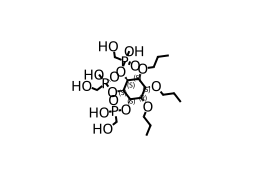 CCCO[C@@H]1[C@@H](OCCC)[C@H](OP(=O)(O)CO)[C@@H](OP(=O)(O)CO)[C@@H](OP(=O)(O)CO)[C@H]1OCCC